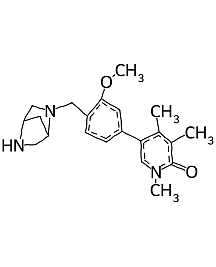 COc1cc(-c2cn(C)c(=O)c(C)c2C)ccc1CN1CC2CC1CN2